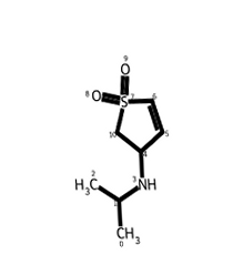 CC(C)NC1C=CS(=O)(=O)C1